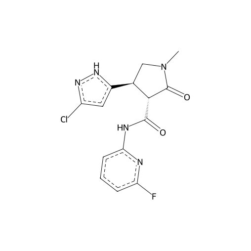 CN1C[C@H](c2cc(Cl)n[nH]2)[C@@H](C(=O)Nc2cccc(F)n2)C1=O